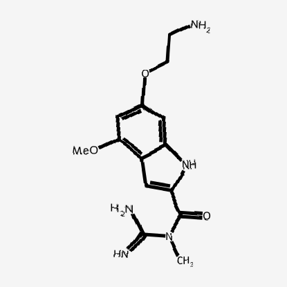 COc1cc(OCCN)cc2[nH]c(C(=O)N(C)C(=N)N)cc12